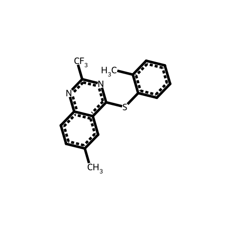 Cc1ccc2nc(C(F)(F)F)nc(Sc3ccccc3C)c2c1